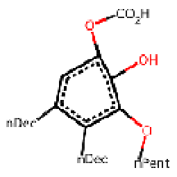 CCCCCCCCCCc1cc(OC(=O)O)c(O)c(OCCCCC)c1CCCCCCCCCC